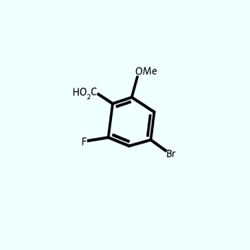 COc1cc(Br)cc(F)c1C(=O)O